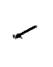 CC(C)(C)OC(=O)NCCOCCOCCOCCOCCCCCCCl